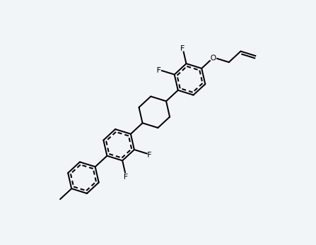 C=CCOc1ccc(C2CCC(c3ccc(-c4ccc(C)cc4)c(F)c3F)CC2)c(F)c1F